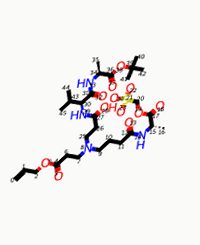 C=CCOC(=O)CCN(CCCC(=O)N[C@@H](C)C(=O)OCS(=O)(=O)O)CCC(=O)N[C@H](C(=O)N[C@@H](C)C(=O)OC(C)(C)C)C(C)C